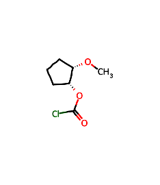 CO[C@H]1CCC[C@H]1OC(=O)Cl